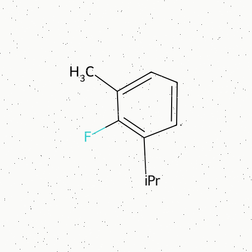 Cc1cc[c]c(C(C)C)c1F